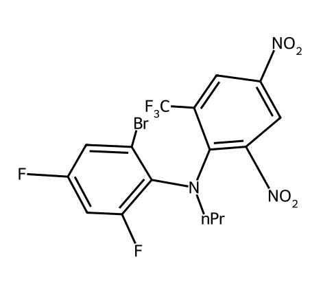 CCCN(c1c(F)cc(F)cc1Br)c1c([N+](=O)[O-])cc([N+](=O)[O-])cc1C(F)(F)F